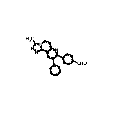 Cc1nnc2c3cc(-c4ccccc4)c(-c4ccc(C=O)cc4)nc3ccn12